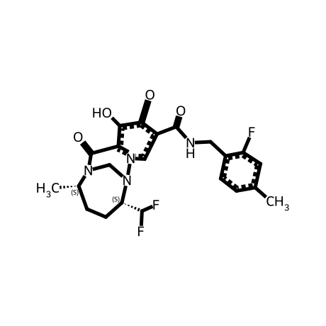 Cc1ccc(CNC(=O)c2cn3c(c(O)c2=O)C(=O)N2CN3[C@H](C(F)F)CC[C@@H]2C)c(F)c1